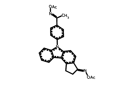 CC(=O)ON=C(C)c1ccc(-n2c3ccccc3c3c4c(ccc32)C(=NOC(C)=O)CC4)cc1